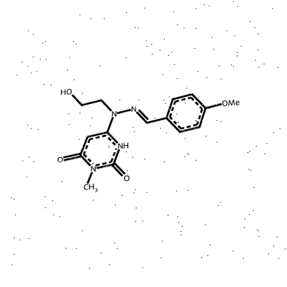 COc1ccc(C=NN(CCO)c2cc(=O)n(C)c(=O)[nH]2)cc1